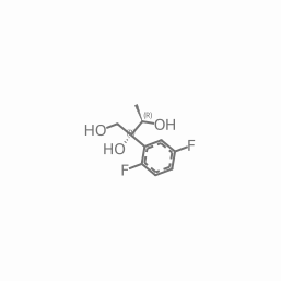 C[C@@H](O)[C@](O)(CO)c1cc(F)ccc1F